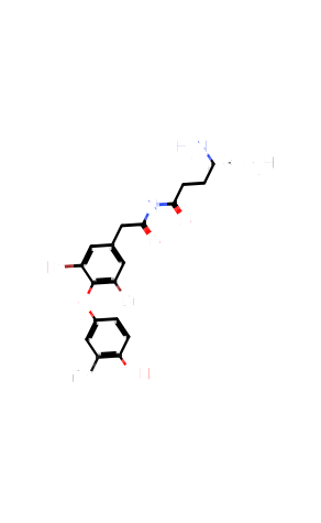 CC(C)c1cc(Oc2c(Br)cc(CC(=O)NC(=O)CC[C@H](N)C(=O)O)cc2Br)ccc1O